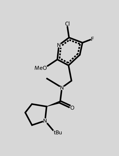 COc1nc(Cl)c(F)cc1CN(C)C(=O)[C@@H]1CCCN1C(C)(C)C